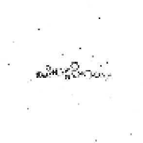 CC(C)(C)OC(=O)N1CCC(S(=O)(=O)c2ccc(N3CCN(C(=O)O)CC3)c3ccccc23)CC1